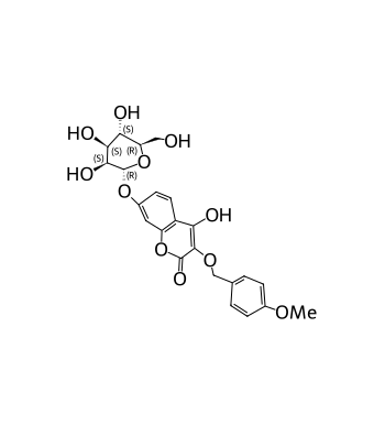 COc1ccc(COc2c(O)c3ccc(O[C@H]4O[C@H](CO)[C@@H](O)[C@H](O)[C@@H]4O)cc3oc2=O)cc1